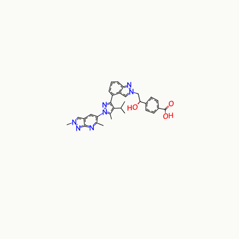 Cc1nc2nn(C)cc2cc1-n1nc(-c2cccc3nn(C[C@H](O)c4ccc(C(=O)O)cc4)cc23)c(C(C)C)c1C